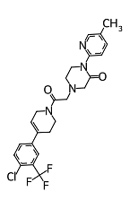 Cc1ccc(N2CCN(CC(=O)N3CC=C(c4ccc(Cl)c(C(F)(F)F)c4)CC3)CC2=O)nc1